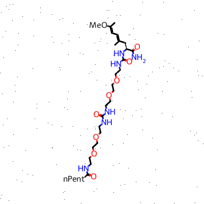 CCCCCC(=O)NCCOCCOCCNC(=O)NCCOCCOCCNC(=O)N[C@@H](C/C(C)=C/C=C(\C)OC)C(N)=O